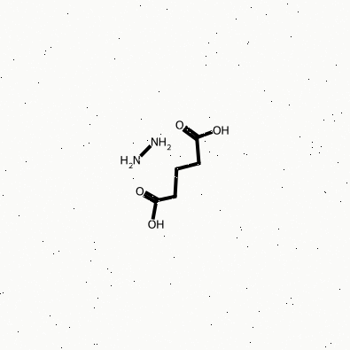 NN.O=C(O)CCCC(=O)O